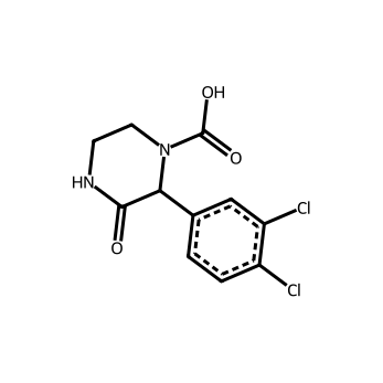 O=C1NCCN(C(=O)O)C1c1ccc(Cl)c(Cl)c1